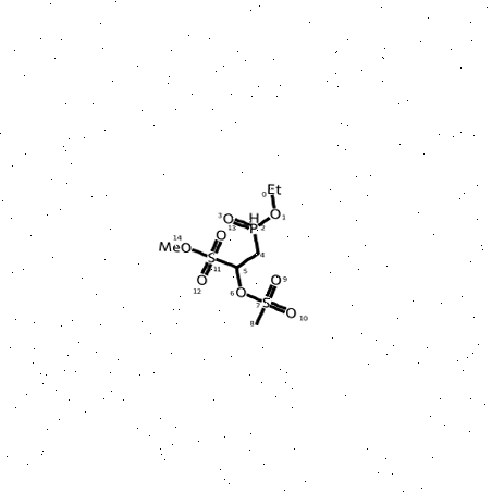 CCO[PH](=O)CC(OS(C)(=O)=O)S(=O)(=O)OC